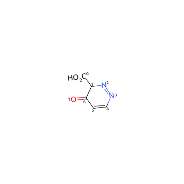 O=C(O)C1N=NC=CC1=O